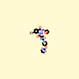 CCc1ccc(C(=O)NC[C@@H]2CCCO2)c(NC(=O)c2coc(N3CCC(Oc4ncccn4)CC3)n2)c1